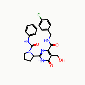 O=C(NCc1ccc(F)cc1)c1nc(C2CCCN2C(=O)Nc2ccccc2)[nH]c(=O)c1CO